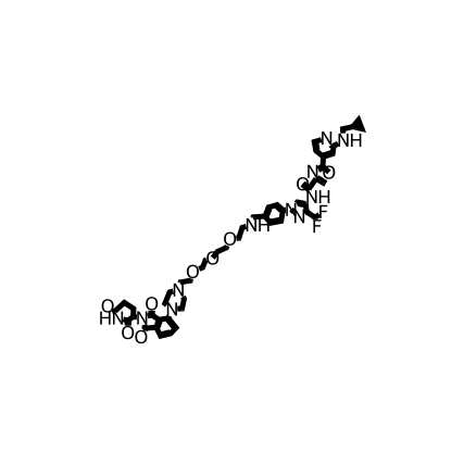 O=C1CCC(N2C(=O)c3cccc(N4CCN(CCOCCOCCOCCNCc5ccc(-n6cc(NC(=O)c7coc(-c8ccnc(NCC9CC9)c8)n7)c(C(F)F)n6)cc5)CC4)c3C2=O)C(=O)N1